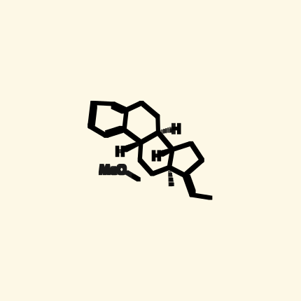 CC=C1CC[C@H]2[C@@H]3CCc4ccccc4[C@H]3CC[C@]12C.COC